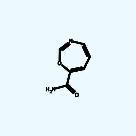 NC(=O)C1=CC=CN=CO1